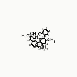 Cc1ccccc1-c1cc(-c2cc(CC(C)(C)C)cc[n+]2C)c(C)cc1C